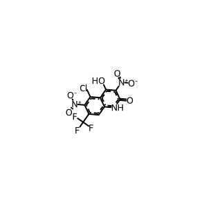 O=c1[nH]c2cc(C(F)(F)F)c([N+](=O)[O-])c(Cl)c2c(O)c1[N+](=O)[O-]